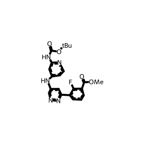 COC(=O)c1cccc(-c2cc(Nc3ccnc(NC(=O)OC(C)(C)C)c3)cnn2)c1F